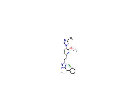 COc1nc(C=Cc2nc3n(n2)CCCC3c2ccccc2Cl)ccc1-n1cnc(C)c1